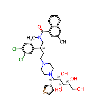 CN(C[C@@H](CCN1CCN([C@@H](c2ccsc2)[C@H](O)[C@@H](O)[C@H](O)CO)CC1)c1ccc(Cl)c(Cl)c1)C(=O)c1cc(C#N)cc2ccccc12